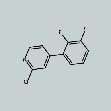 Fc1cccc(-c2ccnc(Cl)c2)c1F